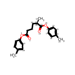 Cc1ccc(OC(=O)CCC[C@@H](C)C(=O)Oc2ccc(C)cc2)cc1